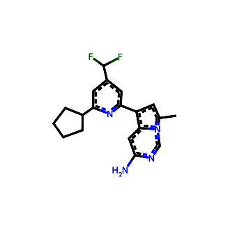 Cc1cc(-c2cc(C(F)F)cc(C3CCCC3)n2)c2cc(N)ncn12